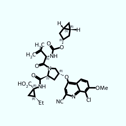 C=C(C)[C@H](NC(=O)O[C@@H]1C[C@@H]2C[C@@H]2C1)C(=O)N1C[C@H](Oc2cc(C#N)nc3c(Cl)c(OC)ccc23)C[C@H]1C(=O)N[C@]1(C(=O)O)C[C@H]1CC